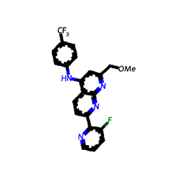 COCc1cc(Nc2ccc(C(F)(F)F)cc2)c2ccc(-c3ncccc3F)nc2n1